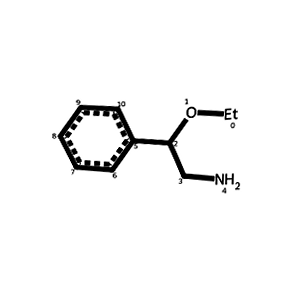 CCOC(CN)c1ccccc1